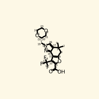 CC1(C)Cc2oc(C(=O)O)c(C(F)(F)F)c2-c2nn(C[C@H]3COCCO3)cc21